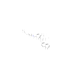 C/C(=N\OCCC#N)c1ccc(N)c(NCc2ccc3ncccc3c2)n1